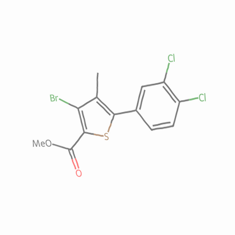 COC(=O)c1sc(-c2ccc(Cl)c(Cl)c2)c(C)c1Br